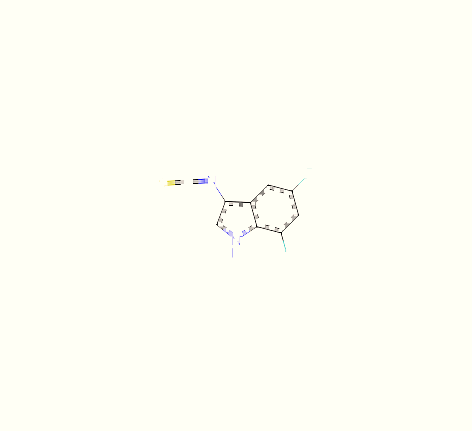 Fc1cc(F)c2[nH]cc(N=C=S)c2c1